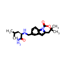 CC(C)C[C@@H](NCc1ccc2c(c1)cc1n2C(=O)OC(C)(C)C1)C(N)=O